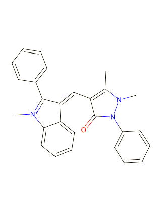 Cc1c(/C=C2/C(c3ccccc3)=[N+](C)c3ccccc32)c(=O)n(-c2ccccc2)n1C